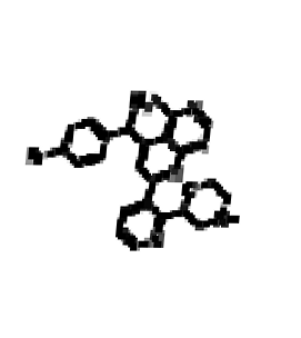 CC(c1ccc(Br)cc1)c1cc(-c2cccnc2C2CNCCO2)nc2ncnc(N)c12